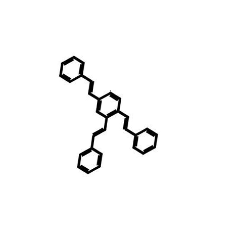 [c]1cc(C=Cc2ccccc2)c(C=Cc2ccccc2)cc1C=Cc1ccccc1